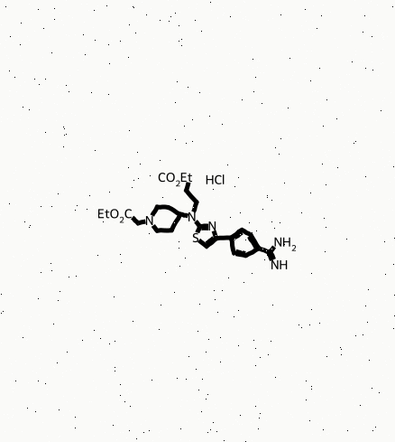 CCOC(=O)CCN(c1nc(-c2ccc(C(=N)N)cc2)cs1)C1CCN(CC(=O)OCC)CC1.Cl